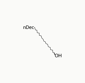 CCCCCCCCCCCCCCCCCCCCCCCCCCCCC=CO